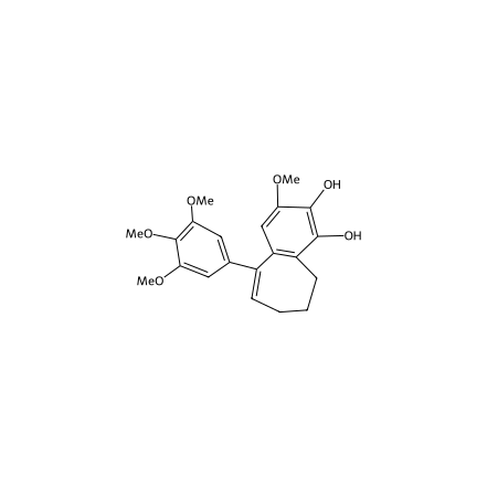 COc1cc2c(c(O)c1O)CCCC=C2c1cc(OC)c(OC)c(OC)c1